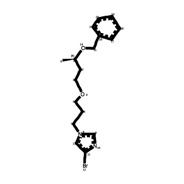 C[C@H](CCOCCCn1cnc(Br)c1)OCc1ccccc1